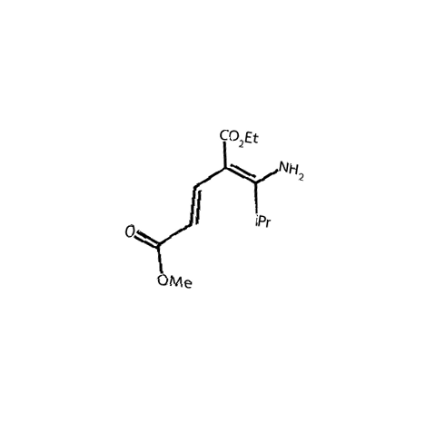 CCOC(=O)C(C=CC(=O)OC)=C(N)C(C)C